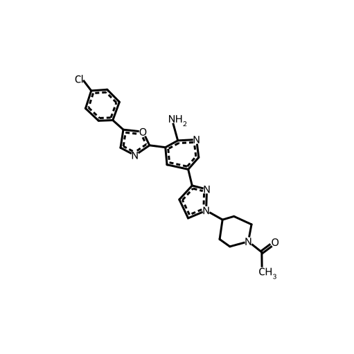 CC(=O)N1CCC(n2ccc(-c3cnc(N)c(-c4ncc(-c5ccc(Cl)cc5)o4)c3)n2)CC1